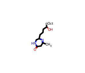 CCCCCCCCC(O)CCCC1CNC(=O)CC(C)=N1